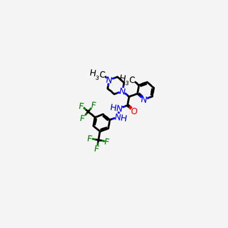 Cc1cccnc1C(C(=O)NNc1cc(C(F)(F)F)cc(C(F)(F)F)c1)N1CCN(C)CC1